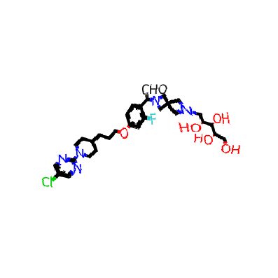 O=CC(c1ccc(OCCCC2CCN(c3ncc(Cl)cn3)CC2)cc1F)N1CC2(CN(C[C@H](O)[C@H](O)[C@H](O)CO)C2)C1